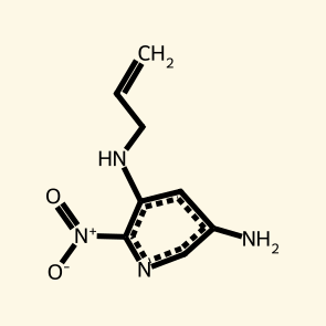 C=CCNc1cc(N)cnc1[N+](=O)[O-]